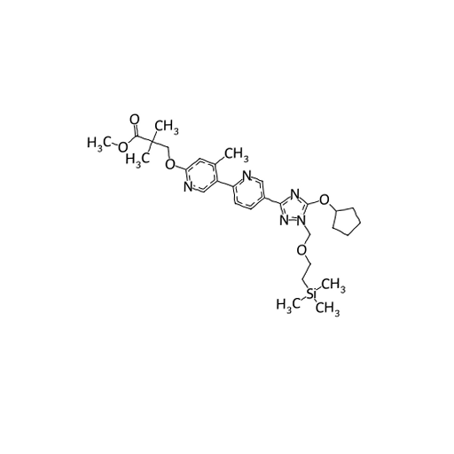 COC(=O)C(C)(C)COc1cc(C)c(-c2ccc(-c3nc(OC4CCCC4)n(COCC[Si](C)(C)C)n3)cn2)cn1